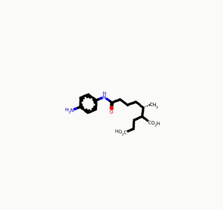 C[C@@H](CCCC(=O)Nc1ccc(N)cc1)C(CCC(=O)O)C(=O)O